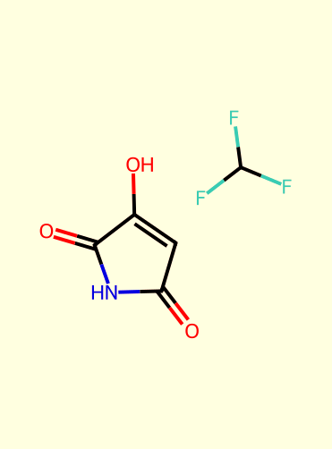 FC(F)F.O=C1C=C(O)C(=O)N1